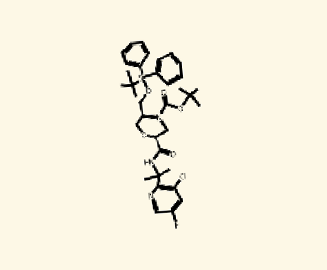 CC(C)(C)OC(=O)N1C[C@@H](C(=O)NC(C)(C)c2ncc(F)cc2Cl)OC[C@H]1CO[Si](c1ccccc1)(c1ccccc1)C(C)(C)C